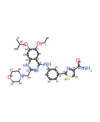 CCOc1cc2c(Nc3cccc(-c4nc(C(N)=O)cs4)c3)nc(CN3CCOCC3)nc2cc1OC(C)C